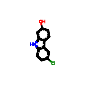 Oc1ccc2c(c1)[nH]c1ccc(Cl)cc12